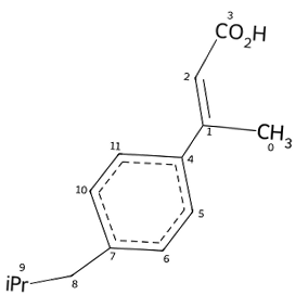 CC(=CC(=O)O)c1ccc(CC(C)C)cc1